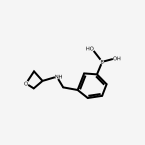 OB(O)c1cccc(CNC2COC2)c1